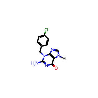 CCn1cnc2c1c(=O)nc(N)n2Cc1ccc(Cl)cc1